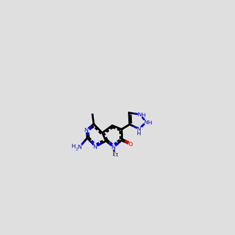 CCn1c(=O)c(C2=CNNN2)cc2c(C)nc(N)nc21